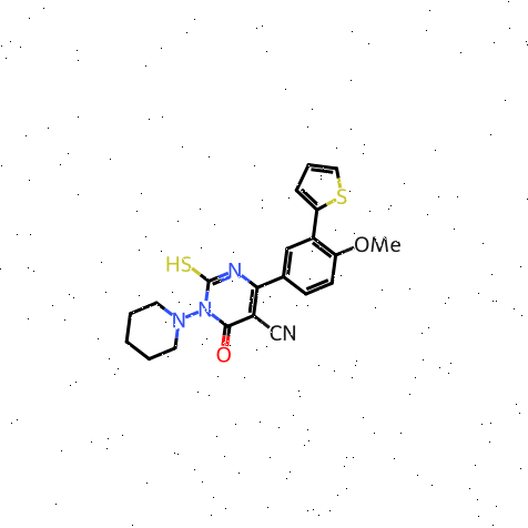 COc1ccc(-c2nc(S)n(N3CCCCC3)c(=O)c2C#N)cc1-c1cccs1